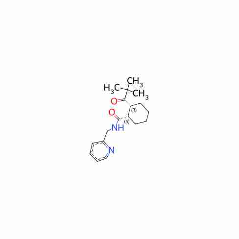 CC(C)(C)C(=O)[C@@H]1CCCC[C@@H]1C(=O)NCc1ccccn1